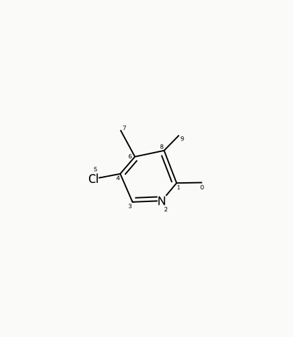 Cc1ncc(Cl)c(C)c1C